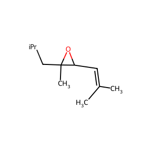 CC(C)=CC1OC1(C)CC(C)C